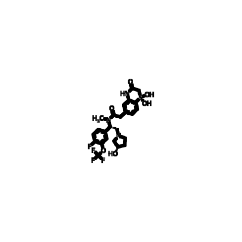 CN(C(=O)Cc1ccc2c(c1)NC(=O)CS2(O)O)[C@H](CN1CC[C@H](O)C1)c1ccc(F)c(OC(F)(F)F)c1